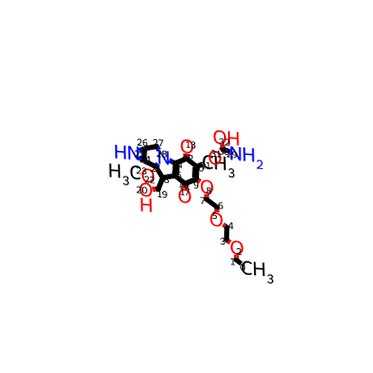 CCOCCOCCOC1=C(C)C(=O)C2=C(C1=O)C(CO)C1(OC)C3NC3CN21.NC(=O)O